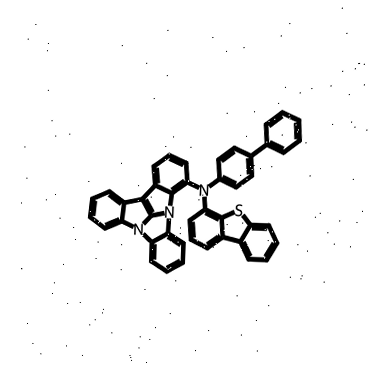 c1ccc(-c2ccc(N(c3cccc4c3sc3ccccc34)c3cccc4c5c6ccccc6n6c7ccccc7n(c34)c56)cc2)cc1